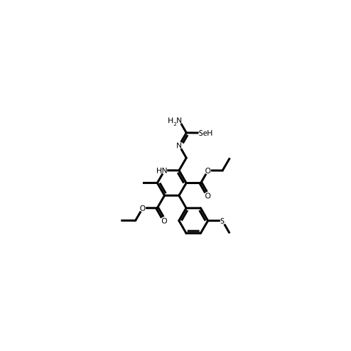 CCOC(=O)C1=C(C)NC(CN=C(N)[SeH])=C(C(=O)OCC)C1c1cccc(SC)c1